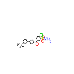 NS(=O)(=O)c1cc(C(=O)c2ccc(-c3cccc(C(F)(F)F)c3)cc2)ccc1Cl